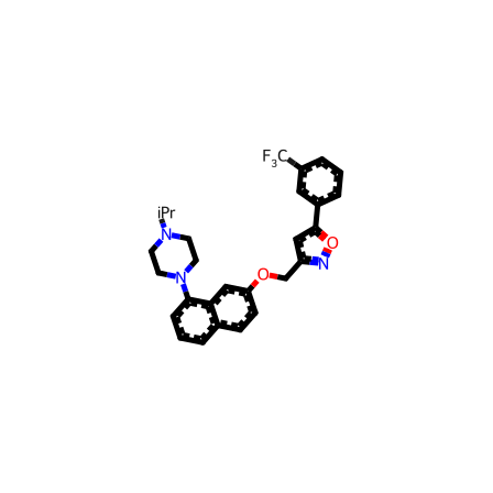 CC(C)N1CCN(c2cccc3ccc(OCc4cc(-c5cccc(C(F)(F)F)c5)on4)cc23)CC1